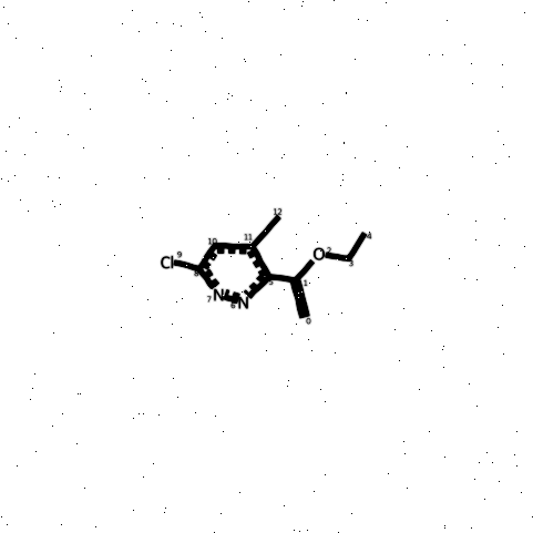 C=C(OCC)c1nnc(Cl)cc1C